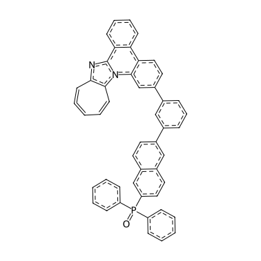 O=P(c1ccccc1)(c1ccccc1)c1ccc2cc(-c3cccc(-c4ccc5c6ccccc6c6nc7c(n6c5c4)C=CC=C=C7)c3)ccc2c1